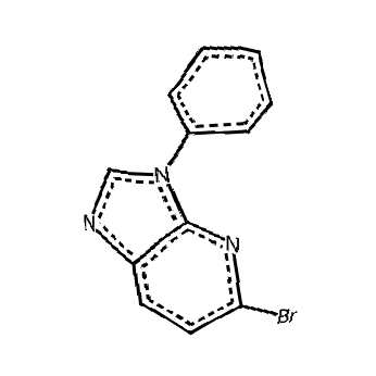 Brc1ccc2ncn(-c3ccccc3)c2n1